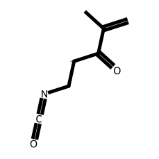 C=C(C)C(=O)[CH]CN=C=O